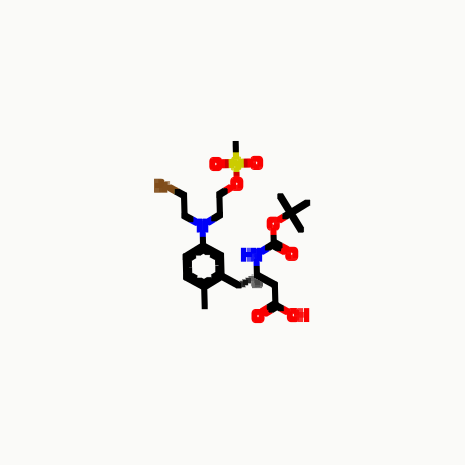 Cc1ccc(N(CCBr)CCOS(C)(=O)=O)cc1C[C@@H](CC(=O)O)NC(=O)OC(C)(C)C